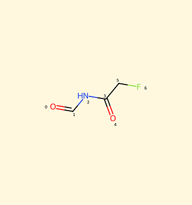 O=CNC(=O)CF